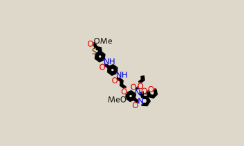 C=CCOC(=O)N1c2cc(OCCCC(=O)Nc3ccc(C(=O)Nc4ccc5sc(C(=O)OC)cc5c4)cc3)c(OC)cc2C(=O)N2CCCC[C@H]2C1OC1CCCCO1